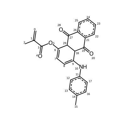 C=C(C)C(=O)OC1=CC=C(Nc2ccc(C)cc2)C2C(=O)c3ccccc3C(=O)C12